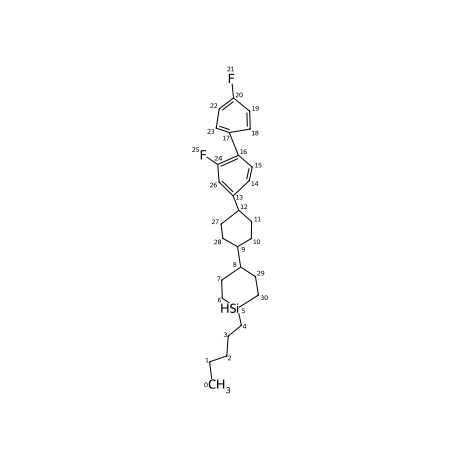 CCCCC[SiH]1CCC(C2CCC(c3ccc(-c4ccc(F)cc4)c(F)c3)CC2)CC1